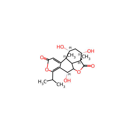 CC(C)c1oc(=O)cc2c1[C@@H](O)C1OC(=O)[C@]3(C)C1[C@]2(C)[C@H](O)C[C@@H]3O